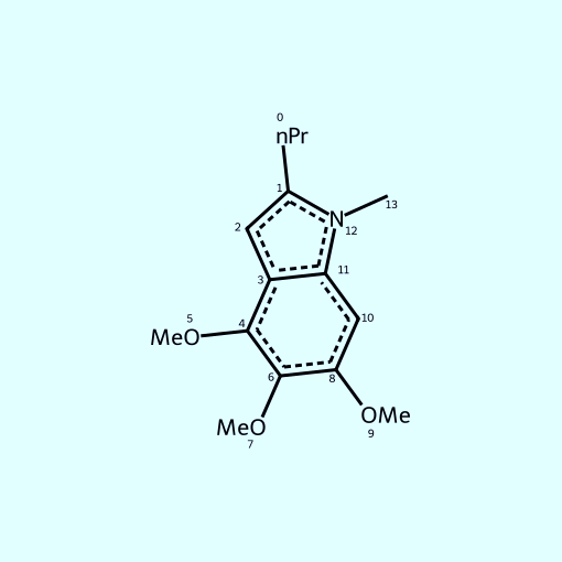 [CH2]CCc1cc2c(OC)c(OC)c(OC)cc2n1C